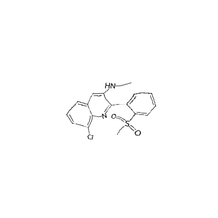 CNc1cc2cccc(Cl)c2nc1-c1ccccc1S(C)(=O)=O